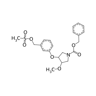 COC1CN(C(=O)OCc2ccccc2)CC1Oc1cccc(COS(C)(=O)=O)c1